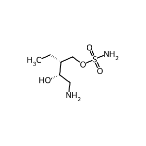 CC[C@H](COS(N)(=O)=O)[C@@H](O)CN